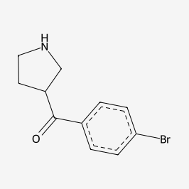 O=C(c1ccc(Br)cc1)C1CCNC1